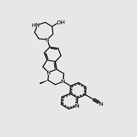 C[C@@H]1CN(c2ccc(C#N)c3ncccc23)CC2=C3CC=C(N4CCNCC(O)C4)C=C3CN21